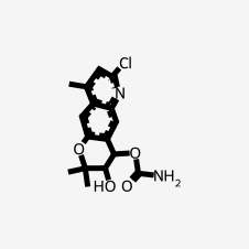 Cc1cc(Cl)nc2cc3c(cc12)OC(C)(C)C(O)C3OC(N)=O